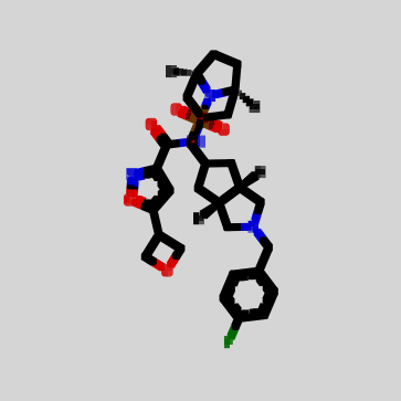 O=C(NC1C[C@H]2CC[C@@H](C1)N2S(=O)(=O)CC1C[C@@H]2CN(Cc3ccc(F)cc3)C[C@@H]2C1)c1cc(C2COC2)on1